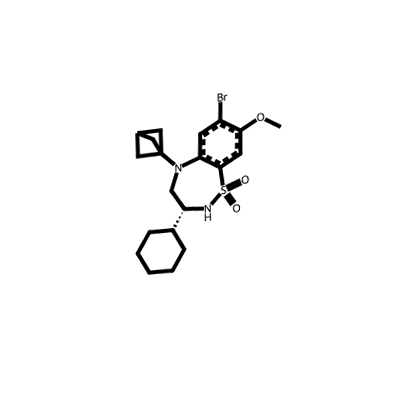 COc1cc2c(cc1Br)N(C13CC(C1)C3)C[C@@H](C1CCCCC1)NS2(=O)=O